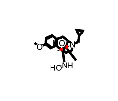 COc1ccc2c(c1)C13CCN(CC4CC4)C(C2)C1(O)CC(C)C(NO)C3